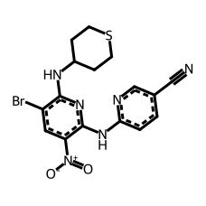 N#Cc1ccc(Nc2nc(NC3CCSCC3)c(Br)cc2[N+](=O)[O-])nc1